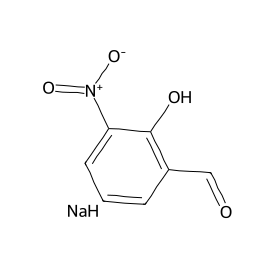 O=Cc1cccc([N+](=O)[O-])c1O.[NaH]